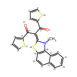 CN1C(=C(C(=O)c2cccs2)C(=O)c2cccs2)Sc2ccc3ccccc3c21